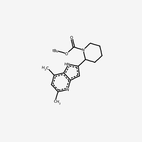 Cc1cc(C)c2[nH]c(C3CCCCN3C(=O)OC(C)(C)C)cc2n1